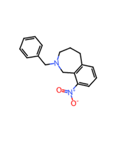 O=[N+]([O-])c1cccc2c1CN(Cc1ccccc1)CCC2